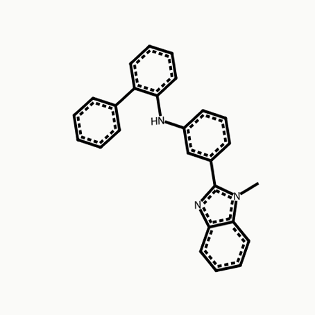 Cn1c(-c2cccc(Nc3ccccc3-c3ccccc3)c2)nc2ccccc21